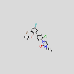 COc1c(Br)cc(F)cc1-c1ccc(-n2ccn(C)c2=O)c(Cl)c1